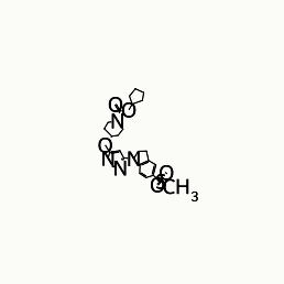 CS(=O)(=O)c1ccc2c(c1)CCN2c1cc(OC2CCN(C(=O)OC3CCCC3)CC2)ncn1